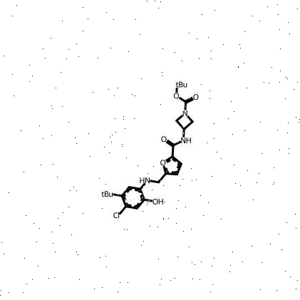 CC(C)(C)OC(=O)N1CC(NC(=O)c2ccc(CNc3cc(C(C)(C)C)c(Cl)cc3O)o2)C1